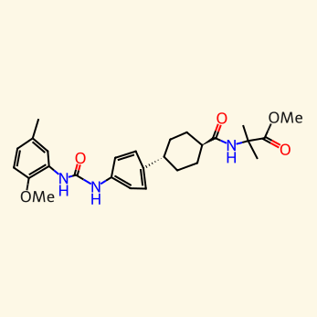 COC(=O)C(C)(C)NC(=O)[C@H]1CC[C@H](c2ccc(NC(=O)Nc3cc(C)ccc3OC)cc2)CC1